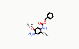 COc1cc(NC(=O)OCc2ccccc2)c(C)cc1N